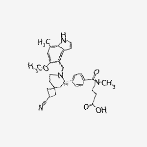 COc1cc(C)c2[nH]ccc2c1CN1CCC2(CC(C#N)C2)C[C@H]1c1ccc(C(=O)N(C)CCC(=O)O)cc1